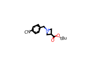 [C-]#[N+]c1ccc(CN2CC(C(=O)OC(C)(C)C)C2)cc1